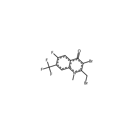 Cn1c(CBr)c(Br)c(=O)c2cc(F)c(C(F)(F)F)cc21